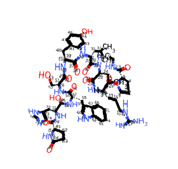 CCNC(=O)[C@@H]1CCCN1C(=O)[C@H](CCCNC(=N)N)NC(=O)[C@H](CC(C)C)NC(=O)[C@@H](CC(C)C)NC(=O)[C@H](Cc1ccc(O)cc1)NC(=O)[C@H](CO)NC(=O)[C@H](Cc1c[nH]c2ccccc12)NC(O)[C@H](Cc1cnc[nH]1)NC(=O)[C@@H]1CCC(=O)N1